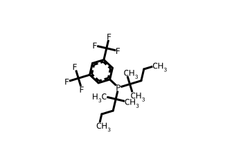 CCCC(C)(C)P(c1cc(C(F)(F)F)cc(C(F)(F)F)c1)C(C)(C)CCC